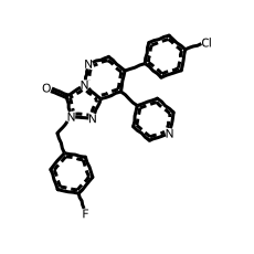 O=c1n(Cc2ccc(F)cc2)nc2c(-c3ccncc3)c(-c3ccc(Cl)cc3)cnn12